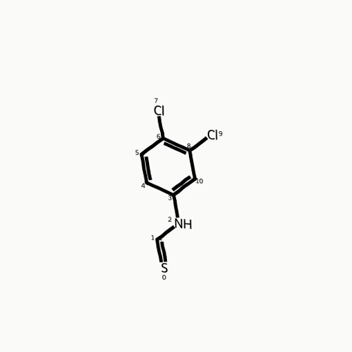 S=[C]Nc1ccc(Cl)c(Cl)c1